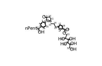 CCCCC[C@H](O)c1ccc(N2C(=O)CC[C@@H]2CCCc2ccc(C(=O)OCC(O)C(O)C(O)C(O)CO)s2)cc1